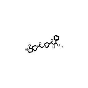 CC(NC(=O)C1CCN(CC(=O)N2CCC3(CCNC3=O)CC2)CC1)c1ccccc1